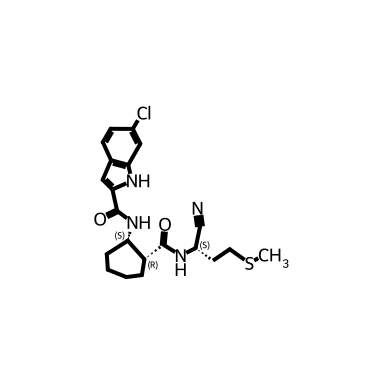 CSCC[C@@H](C#N)NC(=O)[C@@H]1CCCC[C@@H]1NC(=O)c1cc2ccc(Cl)cc2[nH]1